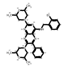 CCc1ccccc1CNc1nc(N2CC(C)OC(C)C2)nc2nc(N3CC(C)OC(C)C3)c(-c3ccccc3)nc12